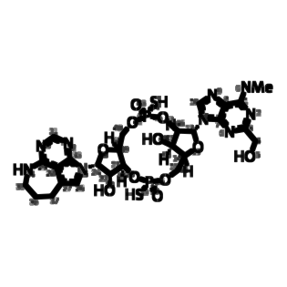 CNc1nc(CO)nc2c1ncn2[C@@H]1O[C@@H]2COP(=O)(S)O[C@H]3[C@@H](O)[C@H](n4cc5c6c(ncnc64)NCCC5)O[C@@H]3COP(=O)(S)O[C@@H]1[C@@H]2O